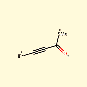 CSC(=O)C#CC(C)C